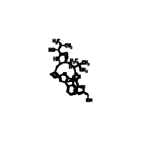 CC(C)[C@H](O)C(=O)N[C@H]1Cc2ccc3c(c2)[C@@]2(c4ccccc4NC2O3)c2oc(nc2-c2nc(CO)co2)[C@H](C(C)(C)C)NC1=O